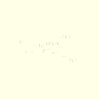 C[C@H](NC(=O)[C@H](CCCCN)NC(=O)CN)C(=O)O